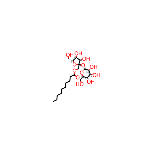 CCCCCCCCCC(=O)OC[C@@]1(O[C@H]2O[C@H](CO)[C@@H](O)[C@H](O)[C@H]2O)O[C@H](CO)[C@@H](O)[C@@H]1O